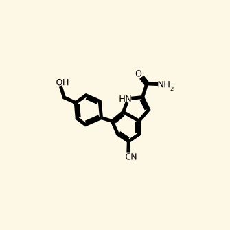 N#Cc1cc(-c2ccc(CO)cc2)c2[nH]c(C(N)=O)cc2c1